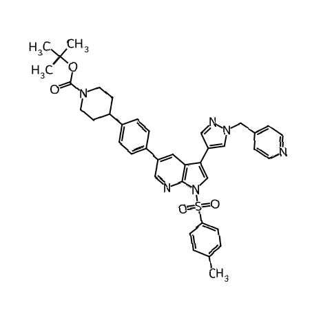 Cc1ccc(S(=O)(=O)n2cc(-c3cnn(Cc4ccncc4)c3)c3cc(-c4ccc(C5CCN(C(=O)OC(C)(C)C)CC5)cc4)cnc32)cc1